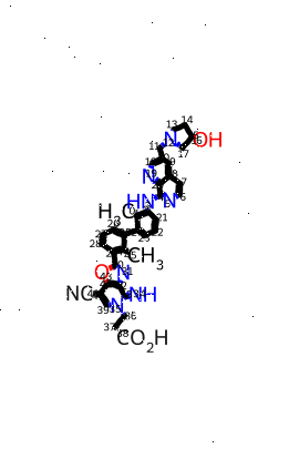 Cc1c(Nc2nccc3cc(CN4CC[C@@H](O)C4)cnc23)cccc1-c1cccc(-c2nc3c(=N)n(CCC(=O)O)cc(C#N)c3o2)c1C